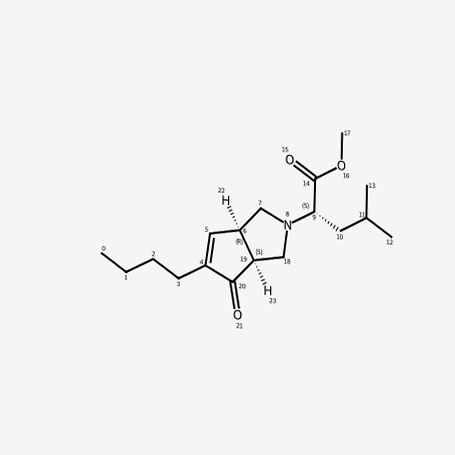 CCCCC1=C[C@H]2CN([C@@H](CC(C)C)C(=O)OC)C[C@H]2C1=O